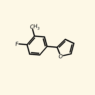 Cc1cc(-c2ccco2)ccc1F